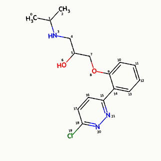 CC(C)NCC(O)COc1ccccc1-c1ccc(Cl)nn1